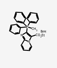 Br.CCOC(=O)c1c(P(C)(c2ccccc2)(c2ccccc2)c2ccccc2)nc2ccccn12